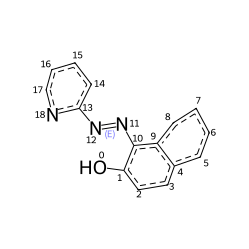 Oc1ccc2ccccc2c1/N=N/c1ccccn1